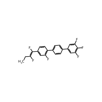 CC/C(F)=C(\F)c1ccc(-c2ccc(-c3cc(F)c(F)c(F)c3)cc2)c(F)c1